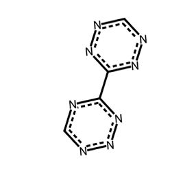 c1nnc(-c2ncnnn2)nn1